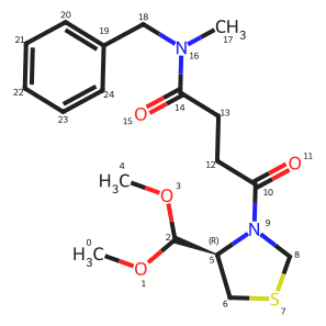 COC(OC)[C@@H]1CSCN1C(=O)CCC(=O)N(C)Cc1ccccc1